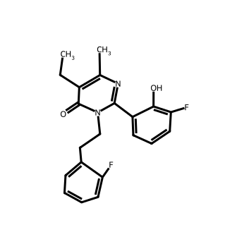 CCc1c(C)nc(-c2cccc(F)c2O)n(CCc2ccccc2F)c1=O